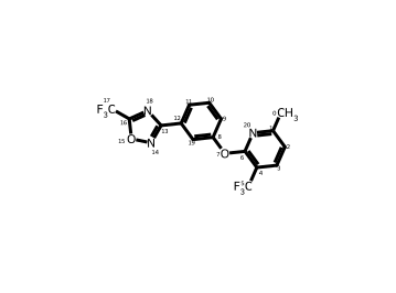 Cc1ccc(C(F)(F)F)c(Oc2[c]ccc(-c3noc(C(F)(F)F)n3)c2)n1